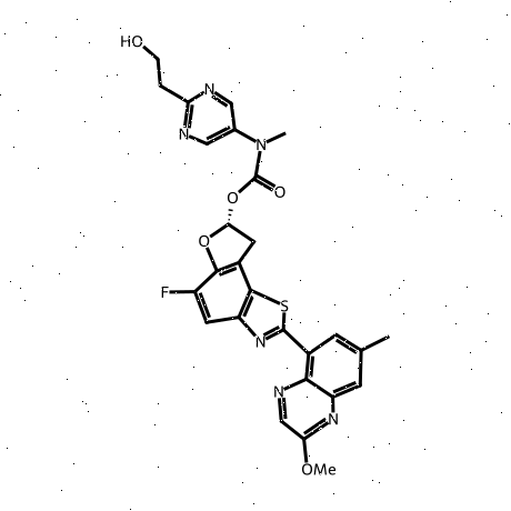 COc1cnc2c(-c3nc4cc(F)c5c(c4s3)C[C@@H](OC(=O)N(C)c3cnc(CCO)nc3)O5)cc(C)cc2n1